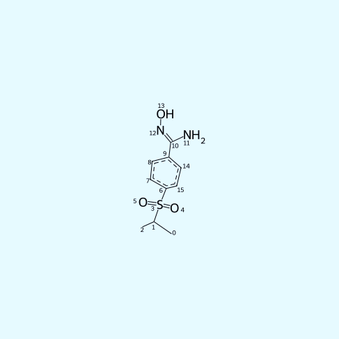 CC(C)S(=O)(=O)c1ccc(/C(N)=N/O)cc1